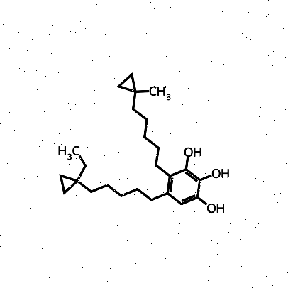 CCC1(CCCCCc2cc(O)c(O)c(O)c2CCCCCC2(C)CC2)CC1